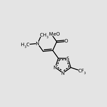 COC(=O)/C(=C\N(C)C)c1nnc(C(F)(F)F)s1